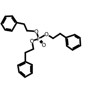 O=P(OCCc1ccccc1)(OCCc1ccccc1)OCCc1ccccc1